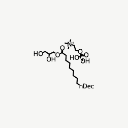 CCCCCCCCCCCCCCCCCCC(=O)OCC(O)CO.C[N+](C)(C)CCOP(=O)(O)O